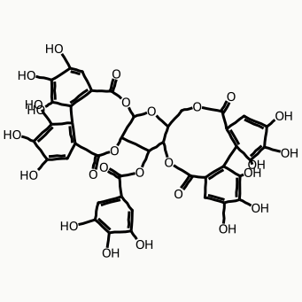 O=C(OC1C2OC(=O)c3cc(O)c(O)c(O)c3-c3c(cc(O)c(O)c3O)C(=O)OCC2OC2OC(=O)c3cc(O)c(O)c(O)c3-c3c(cc(O)c(O)c3O)C(=O)OC21)c1cc(O)c(O)c(O)c1